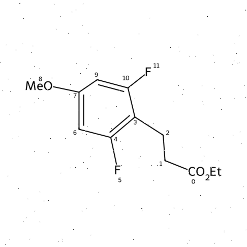 CCOC(=O)CCc1c(F)cc(OC)cc1F